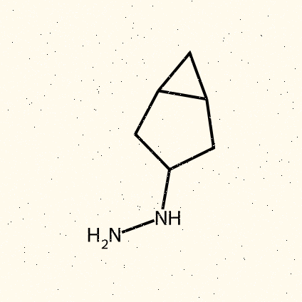 NNC1CC2CC2C1